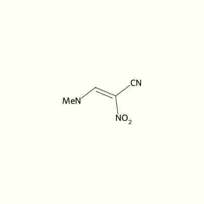 CNC=C(C#N)[N+](=O)[O-]